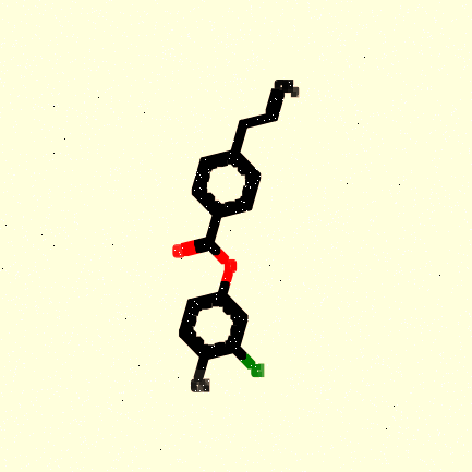 C=CCc1ccc(C(=O)Oc2ccc(C#N)c(Cl)c2)cc1